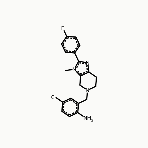 Cn1c(-c2ccc(F)cc2)nc2c1CN(Cc1cc(Cl)ccc1N)CC2